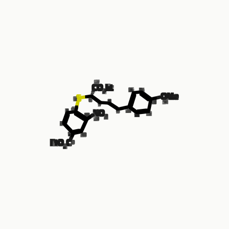 CCOC(=O)c1ccc(S[C@@H](CCCc2ccc(OC)cc2)C(=O)OCC)c([N+](=O)[O-])c1